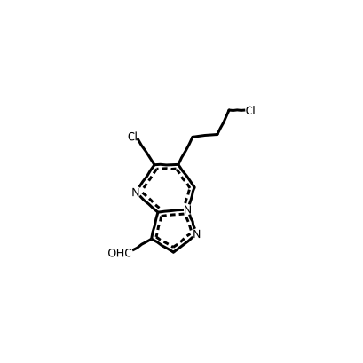 O=Cc1cnn2cc(CCCCl)c(Cl)nc12